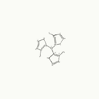 CC1=[C]([Cr]([C]2=C(C)C=CC2)[C]2=C(C)C=CC2)CC=C1